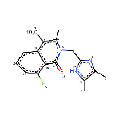 Cc1nc(Cn2c(C)c(C(=O)O)c3cccc(F)c3c2=O)[nH]c1C